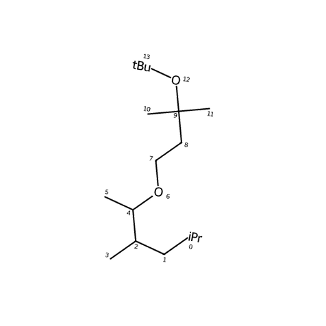 CC(C)CC(C)C(C)OCCC(C)(C)OC(C)(C)C